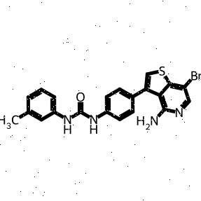 Cc1cccc(NC(=O)Nc2ccc(-c3csc4c(Br)cnc(N)c34)cc2)c1